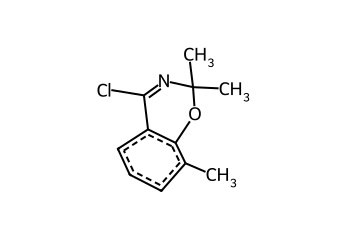 Cc1cccc2c1OC(C)(C)N=C2Cl